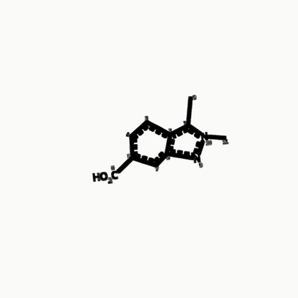 Cc1c2ccc(C(=O)O)cc2nn1C